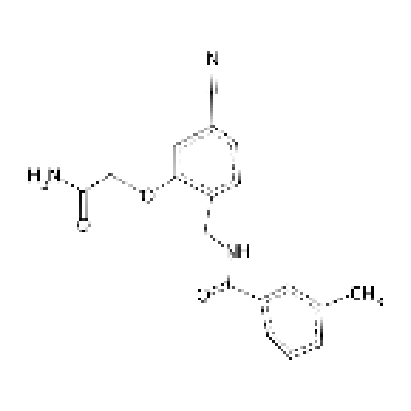 Cc1cccc(C(=O)NCc2ccc(C#N)cc2OCC(N)=O)c1